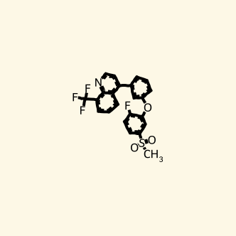 CS(=O)(=O)c1ccc(F)c(Oc2cccc(-c3ccnc4c(C(F)(F)F)cccc34)c2)c1